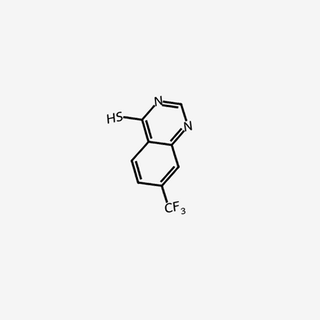 FC(F)(F)c1ccc2c(S)ncnc2c1